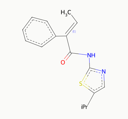 C/C=C(/C(=O)Nc1ncc(C(C)C)s1)c1ccccc1